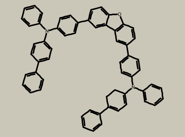 C1=C(c2ccccc2)CCC(N(c2ccccc2)c2ccc(-c3ccc4oc5ccc(-c6ccc(N(c7ccccc7)c7ccc(-c8ccccc8)cc7)cc6)cc5c4c3)cc2)=C1